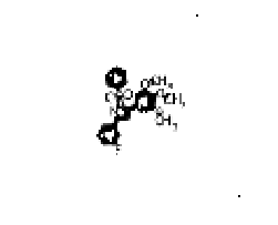 COc1cc(C2CC(c3cccc(F)c3)=NN2S(=O)(=O)c2ccccc2)cc(OC)c1OC